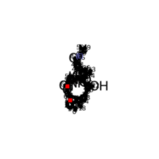 CCc1ccccc1-c1c2c3cc(ccc3n1CC)-c1cc(O)cc(c1)C[C@H](NC(=O)[C@H](C(C)C)N(C)C(=O)[C@H]1CCN(C(=O)/C=C/CN(C)C)C1)C(=O)N1CCC[C@H](N1)C(=O)OCC(C)(C)C2